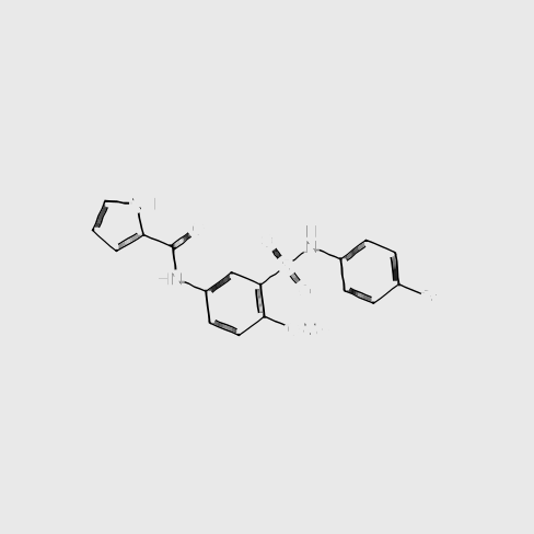 COc1ccc(NC(=O)c2ccc[nH]2)cc1S(=O)(=O)Nc1ccc(Br)cc1